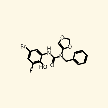 O=C(Nc1cc(Br)cc(F)c1O)N(Cc1ccccc1)C1=COCO1